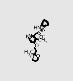 Cc1c(OCCC2(C)OCCCO2)ccnc1C[S+]([O-])c1nc2ccccc2[nH]1.[Na]